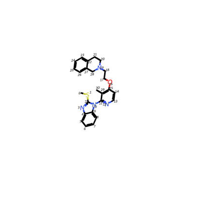 CSc1nc2ccccc2n1-c1nccc(OCCN2CCc3ccccc3C2)c1C